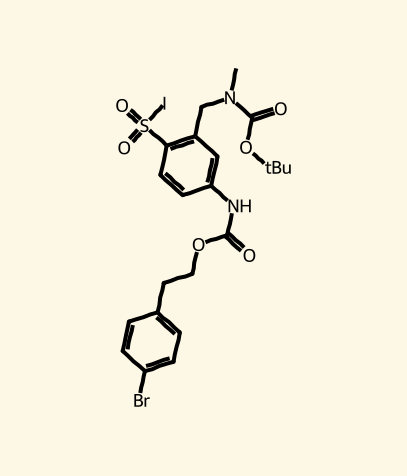 CN(Cc1cc(NC(=O)OCCc2ccc(Br)cc2)ccc1S(=O)(=O)I)C(=O)OC(C)(C)C